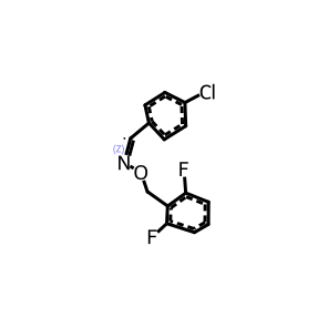 Fc1cccc(F)c1CO/N=[C]\c1ccc(Cl)cc1